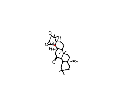 CC1(C)CC[C@]2(C#N)CC[C@]3(C)C(C(=O)C[C@@H]4[C@@]5(C)[C@H]6O[C@@]6(C#N)C(=O)C(C)(C)[C@@H]5CC[C@]43C)C2C1